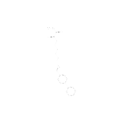 CNC(=O)C(=O)CCCCCO/N=C/c1ccc(-c2ccccc2)cc1